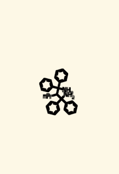 [CH2]CCC(C(N)(c1ccccc1)c1ccccc1)C(N)(c1ccccc1)c1ccccc1